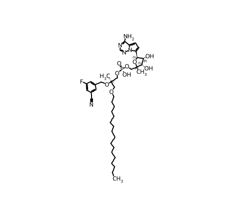 CCCCCCCCCCCCCCCCCOC[C@](C)(COP(=O)(O)OC[C@@]1(C)O[C@@H](c2ccc3c(N)ncnn23)[C@H](O)[C@@H]1O)OCc1cc(F)cc(C#N)c1